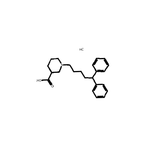 Cl.O=C(O)C1CCCN(CCCCC(c2ccccc2)c2ccccc2)C1